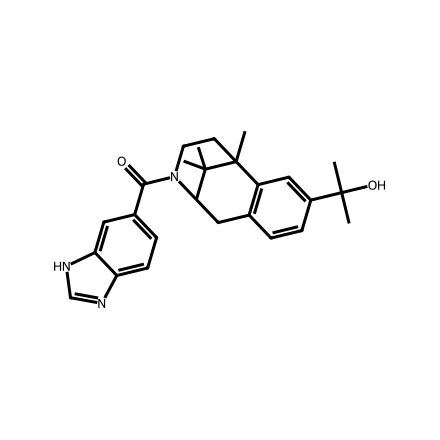 CC(C)(O)c1ccc2c(c1)C1(C)CCN(C(=O)c3ccc4nc[nH]c4c3)C(C2)C1(C)C